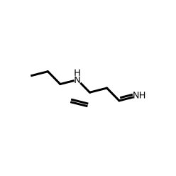 C=C.CCCNCCC=N